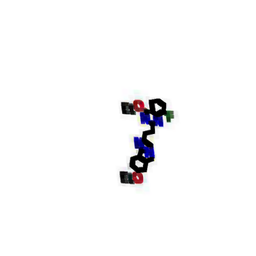 CCOc1ccc2c(c1)Cn1cc(CCc3nc(OCC)c4cccc(F)c4n3)nc1-2